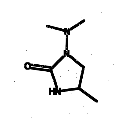 CC1CN(N(C)C)C(=O)N1